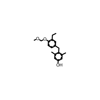 CCc1cc(Cc2c(C)cc(O)cc2C)ccc1OCOC